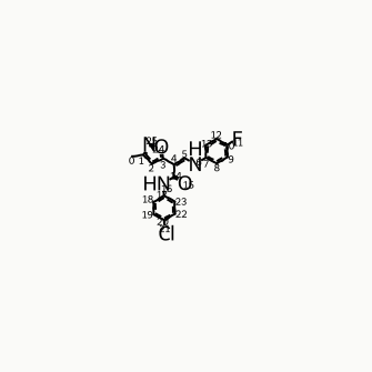 Cc1cc(C(=CNc2ccc(F)cc2)C(=O)Nc2ccc(Cl)cc2)on1